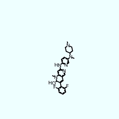 CN1CCC(N(C)c2ccc(Nc3cc4c(cn3)C=C(c3c(F)cccc3F)C(O)N4C)nc2)CC1